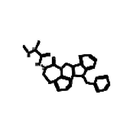 CN[C@@H](C)C(=O)N[C@H]1COc2ccccc2N(Cc2c(Cl)n(Cc3ccccc3)c3ccccc23)C1=O